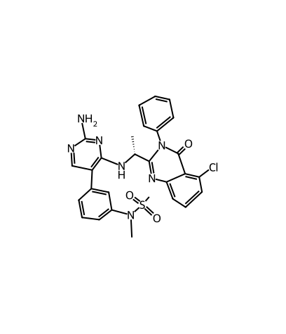 C[C@@H](Nc1nc(N)ncc1-c1cccc(N(C)S(C)(=O)=O)c1)c1nc2cccc(Cl)c2c(=O)n1-c1ccccc1